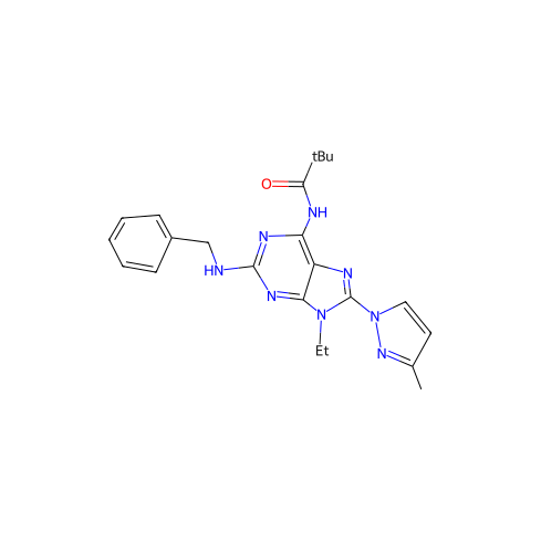 CCn1c(-n2ccc(C)n2)nc2c(NC(=O)C(C)(C)C)nc(NCc3ccccc3)nc21